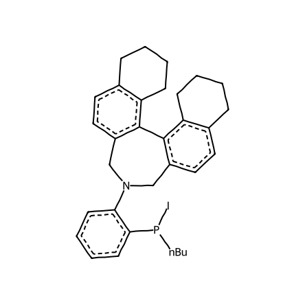 CCCCP(I)c1ccccc1N1Cc2ccc3c(c2-c2c(ccc4c2CCCC4)C1)CCCC3